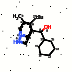 Cc1cn2[nH]cc2c(C(O)C2CCCCC2)c1C(C)(C)C